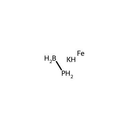 BP.[Fe].[KH]